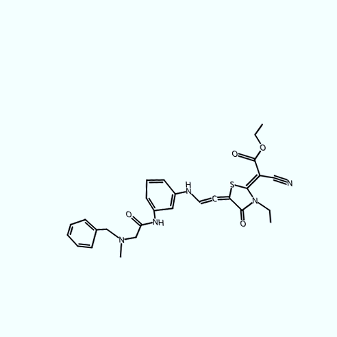 CCOC(=O)/C(C#N)=c1\sc(=C=CNc2cccc(NC(=O)CN(C)Cc3ccccc3)c2)c(=O)n1CC